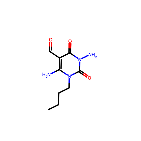 CCCCn1c(N)c(C=O)c(=O)n(N)c1=O